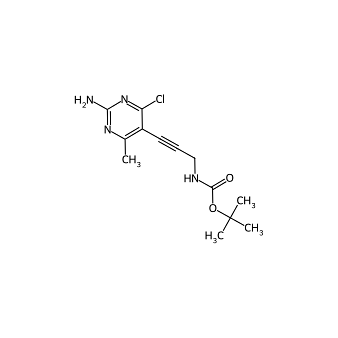 Cc1nc(N)nc(Cl)c1C#CCNC(=O)OC(C)(C)C